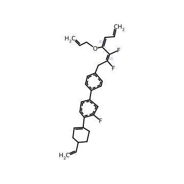 C=C/C=C(OCC=C)\C(F)=C(\F)Cc1ccc(-c2ccc(C3=CCC(C=C)CC3)c(F)c2)cc1